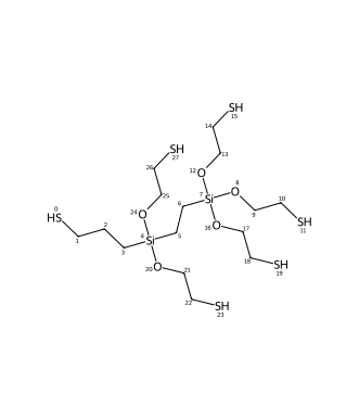 SCCC[Si](CC[Si](OCCS)(OCCS)OCCS)(OCCS)OCCS